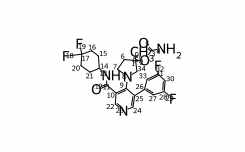 C[C@]1(OC(N)=O)CCN(c2c(C(=O)NC3CCC(F)(F)CC3)cncc2-c2cc(F)cc(F)c2)C1